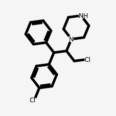 ClCC(C(c1ccccc1)c1ccc(Cl)cc1)N1CCNCC1